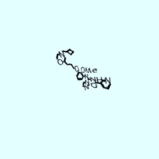 COc1c(/N=C(/NC(=O)c2cccnc2)N2C=NCC2)cccc1OCCCC1CN(CC2CCC2)CCO1